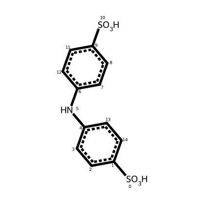 O=S(=O)(O)c1ccc(Nc2ccc(S(=O)(=O)O)cc2)cc1